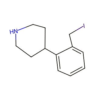 ICc1ccccc1C1CCNCC1